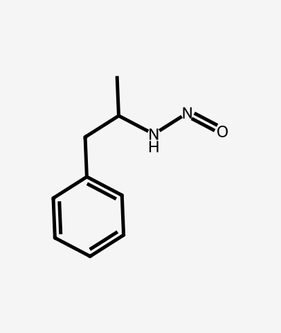 CC(Cc1ccccc1)NN=O